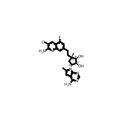 Cc1cc2c(N)ncnc2n1[C@@H]1C[C@](C)(CCc2cc(F)c3cc(Cl)c(N)nc3c2)[C@@H](O)[C@H]1O